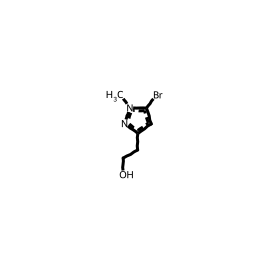 Cn1nc(CCO)cc1Br